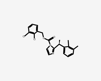 Cc1cccc([C@H](C)c2nccn2C(=O)OCc2cccc(Cl)c2Cl)c1C